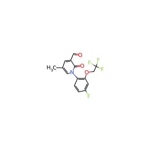 Cc1cc(C=O)c(=O)n(-c2ccc(F)cc2OCC(F)(F)F)c1